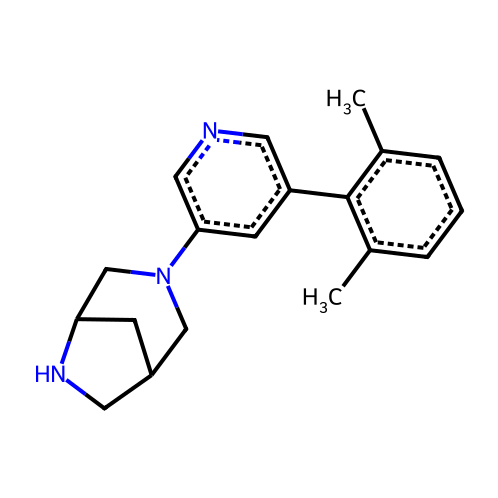 Cc1cccc(C)c1-c1cncc(N2CC3CNC(C3)C2)c1